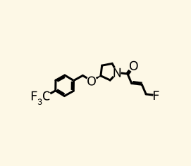 O=C(/C=C/CF)N1CC[C@H](OCc2ccc(C(F)(F)F)cc2)C1